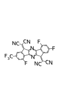 N#CC(C#N)=C1c2cc(F)cc(F)c2-c2nc3c(nc21)-c1c(F)cc(C(F)(F)F)cc1C3=C(C#N)C#N